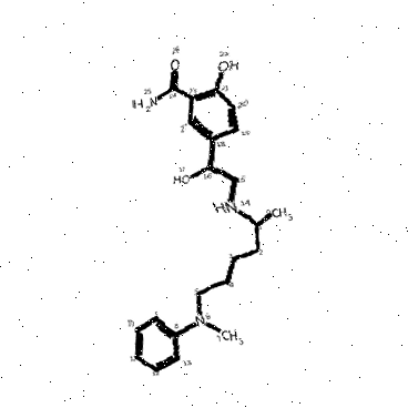 CC(CCCCN(C)c1ccccc1)NCC(O)c1ccc(O)c(C(N)=O)c1